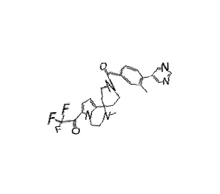 Cc1cc(C(=O)N2CCC3(CC2)c2ccc(C(=O)C(F)(F)F)n2CCN3C)ccc1-c1cncnc1